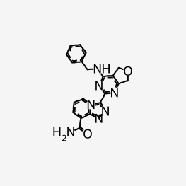 NC(=O)c1cccn2c(-c3nc4c(c(NCc5ccccc5)n3)COC4)nnc12